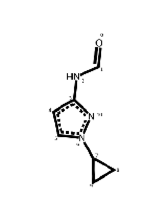 O=CNc1ccn(C2CC2)n1